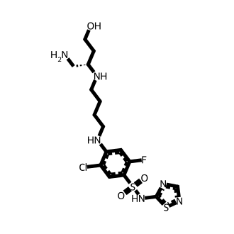 NC[C@H](CCO)NCCCCNc1cc(F)c(S(=O)(=O)Nc2ncns2)cc1Cl